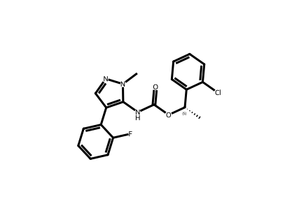 C[C@H](OC(=O)Nc1c(-c2ccccc2F)cnn1C)c1ccccc1Cl